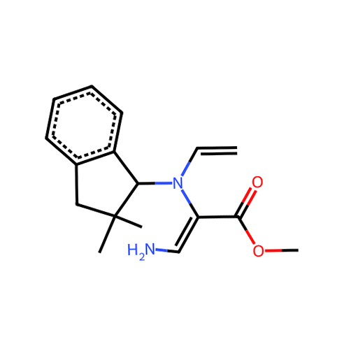 C=CN(/C(=C\N)C(=O)OC)C1c2ccccc2CC1(C)C